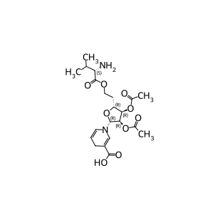 CC(=O)O[C@@H]1[C@H](OC(C)=O)[C@@H](CCOC(=O)[C@@H](N)C(C)C)O[C@H]1N1C=CCC(C(=O)O)=C1